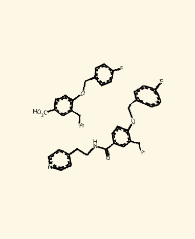 CC(C)Cc1cc(C(=O)NCCc2ccncc2)ccc1OCc1ccc(F)cc1.CC(C)Cc1cc(C(=O)O)ccc1OCc1ccc(F)cc1